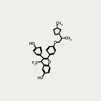 C[C@@H]1CCN([C@@H](C)COc2ccc(C3=C(c4ccc(O)cc4)C(C(F)(F)F)c4cc(O)ccc4O3)cc2)C1